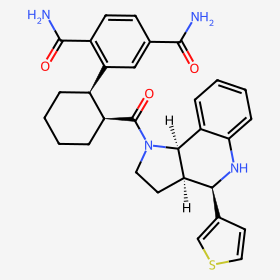 NC(=O)c1ccc(C(N)=O)c([C@@H]2CCCC[C@@H]2C(=O)N2CC[C@@H]3[C@H](c4ccsc4)Nc4ccccc4[C@@H]32)c1